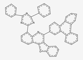 c1ccc(-c2nc(-c3ccccc3)nc(-c3cccc4c3nc(-c3ccc5c6ccccc6c6ccccc6c5c3)c3c5ccccc5oc43)n2)cc1